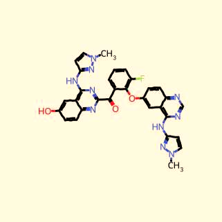 Cn1ccc(Nc2ncnc3ccc(Oc4c(F)cccc4C(=O)c4nc(Nc5ccn(C)n5)c5cc(O)ccc5n4)cc23)n1